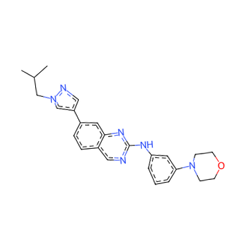 CC(C)Cn1cc(-c2ccc3cnc(Nc4cccc(N5CCOCC5)c4)nc3c2)cn1